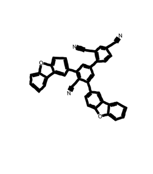 N#Cc1ccc(-c2cc(-c3ccc4oc5ccccc5c4c3)c(C#N)c(-c3ccc4oc5ccccc5c4c3)c2)c(C#N)c1